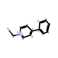 IC[n+]1ccc(-c2ccccc2)cc1